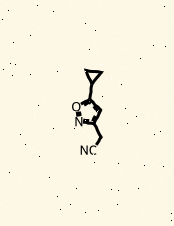 N#CCc1cc(C2CC2)on1